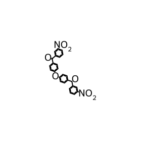 O=C(c1ccc(Oc2ccc(C(=O)c3cccc([N+](=O)[O-])c3)cc2)cc1)c1cccc([N+](=O)[O-])c1